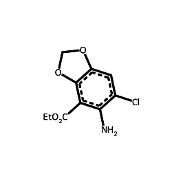 CCOC(=O)c1c(N)c(Cl)cc2c1OCO2